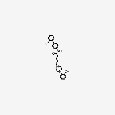 COc1ccccc1N1CCN(CCCCC(=O)Nc2ccc(-c3ccccc3Cl)cc2)CC1